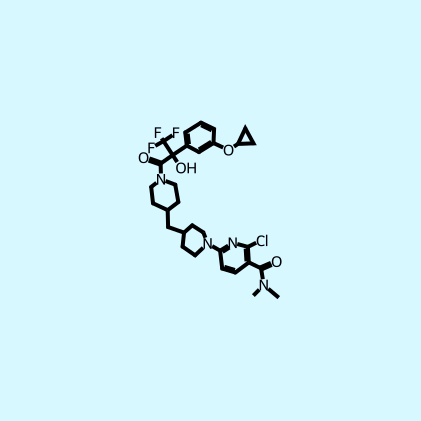 CN(C)C(=O)c1ccc(N2CCC(CC3CCN(C(=O)C(O)(c4cccc(OC5CC5)c4)C(F)(F)F)CC3)CC2)nc1Cl